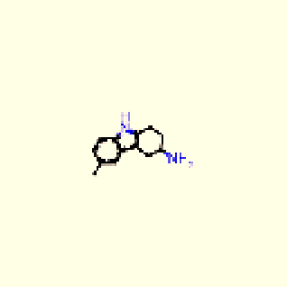 Cc1ccc2[nH]c3c(c2c1)CC(N)CC3